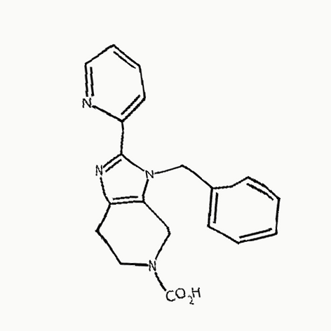 O=C(O)N1CCc2nc(-c3ccccn3)n(Cc3ccccc3)c2C1